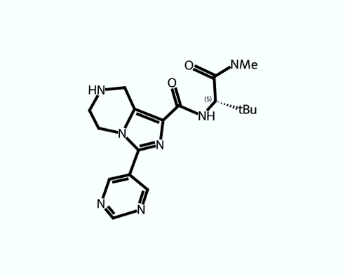 CNC(=O)[C@@H](NC(=O)c1nc(-c2cncnc2)n2c1CNCC2)C(C)(C)C